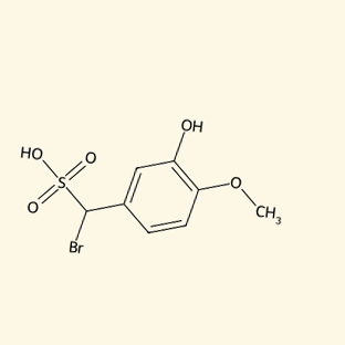 COc1ccc(C(Br)S(=O)(=O)O)cc1O